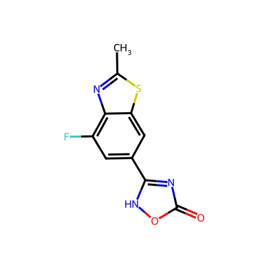 Cc1nc2c(F)cc(-c3nc(=O)o[nH]3)cc2s1